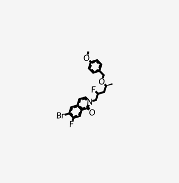 COc1ccc(CO[C@@H](C)CC(F)Cn2ccc3cc(Br)c(F)cc3c2=O)cc1